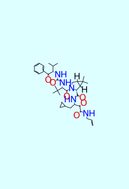 C=CCNC(=O)C(=O)C(CC1CC1)NC(=O)[C@@H]1[C@@H]2[C@H](CN1C(=O)[C@@H](NC(=O)N[C@H](C(=O)c1ccccc1)C(C)C)C(C)(C)C)C2(C)C